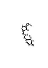 CN1CC[C@H](CNCc2ccc(F)cc2F)C1